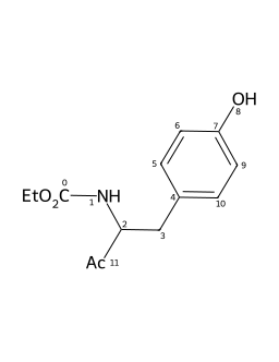 CCOC(=O)NC(Cc1ccc(O)cc1)C(C)=O